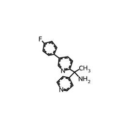 CC(N)(c1ccncc1)c1ccc(-c2ccc(F)cc2)cn1